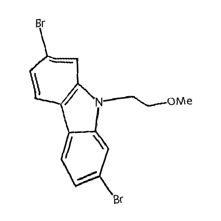 COCCn1c2cc(Br)ccc2c2ccc(Br)cc21